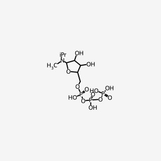 CC(C)N(C)C1OC(COP(=O)(O)OP(=O)(O)OP(=O)(O)O)C(O)C1O